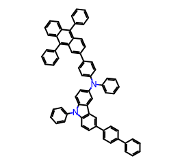 c1ccc(-c2ccc(-c3ccc4c(c3)c3cc(N(c5ccccc5)c5ccc(-c6ccc7c(-c8ccccc8)c8ccccc8c(-c8ccccc8)c7c6)cc5)ccc3n4-c3ccccc3)cc2)cc1